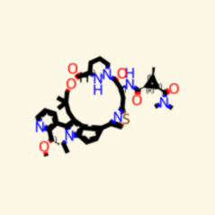 CCn1c(-c2cccnc2[C@H](C)OC)c2c3cc(ccc31)-c1csc(n1)C[C@H](NC(=O)[C@@H]1[C@@H](C)[C@H]1C(=O)N(C)C)C(=O)N1CCC[C@H](N1)C(=O)OCC(C)(C)C2